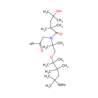 CCCC(=O)CN(C(=O)C(C)(C)CC(C)(C)O)C(C)(C)COC(C)(C)C(C)(C)CC(C)(C)NC